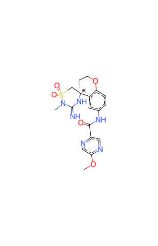 COc1cnc(C(=O)Nc2ccc3c(c2)[C@]2(CCO3)CS(=O)(=O)N(C)C(=N)N2)cn1